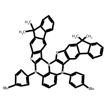 CC(C)(C)c1ccc(N2c3cccc4c3B(c3sc5cc6c(cc5c3N4c3ccc(C(C)(C)C)cc3)-c3ccccc3C6(C)C)c3c2sc2cc4c(cc32)-c2ccccc2C4(C)C)cc1